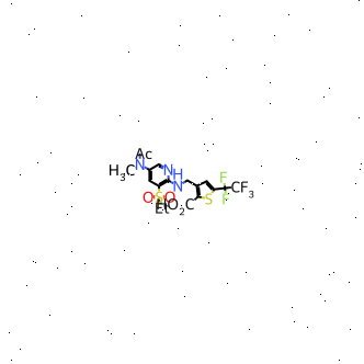 CCS(=O)(=O)c1cc(N(C)C(C)=O)cnc1NCc1cc(C(F)(F)C(F)(F)F)sc1C(=O)O